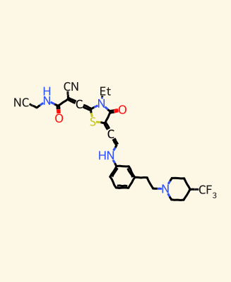 CCn1c(=C=C(C#N)C(=O)NCC#N)sc(=C=CNc2cccc(CCN3CCC(C(F)(F)F)CC3)c2)c1=O